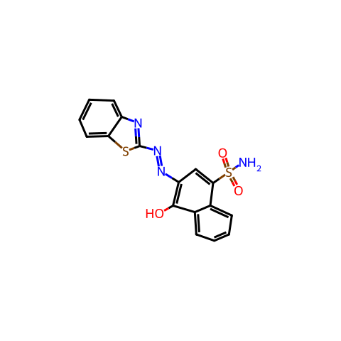 NS(=O)(=O)c1cc(N=Nc2nc3ccccc3s2)c(O)c2ccccc12